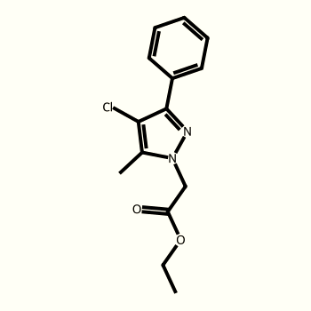 CCOC(=O)Cn1nc(-c2ccccc2)c(Cl)c1C